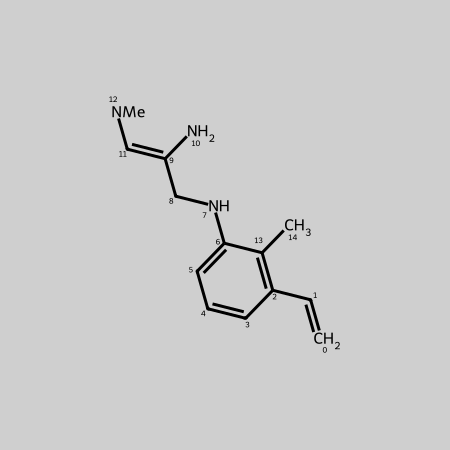 C=Cc1cccc(NC/C(N)=C/NC)c1C